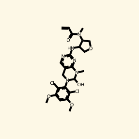 C=CC(=O)N(C)C1COCC1Nc1ncc2c(n1)N(C)C(O)N(c1c(Cl)c(OC)cc(OC)c1Cl)C2